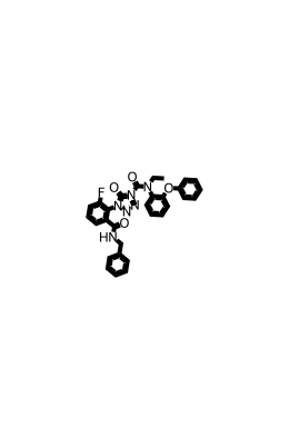 CCN(C(=O)n1nnn(-c2c(F)cccc2C(=O)NCc2ccccc2)c1=O)c1ccccc1Oc1ccccc1